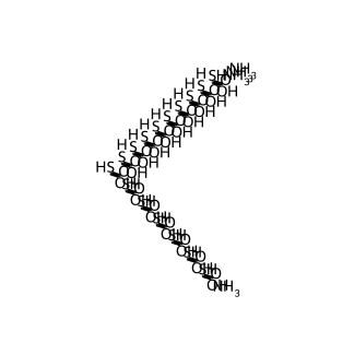 N.N.N.N.O=C(O)CS.O=C(O)CS.O=C(O)CS.O=C(O)CS.O=C(O)CS.O=C(O)CS.O=C(O)CS.O=C(O)CS.O=C(O)CS.O=C(O)CS.O=C(O)CS.O=C(O)CS.O=C(O)CS.O=C(O)CS.O=C(O)CS.O=C(O)CS